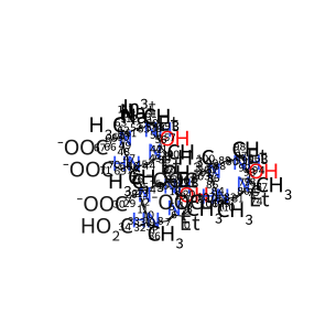 CCC1=C(C)c2nc1cc1[nH]c(cc3nc(cc4[nH]c(c2O)c(CC)c4C)C(C)=C3CCC(=O)[O-])c(CCC(=O)O)c1C.CCC1=C(C)c2nc1cc1[nH]c(cc3nc(cc4[nH]c(c2O)c(CC)c4C)C(C)=C3CCC(=O)[O-])c(CCC(=O)[O-])c1C.CCC1=C(C)c2nc1cc1[nH]c(cc3nc(cc4[nH]c(c2O)c(CC)c4C)C(C)=C3CCC(=O)[O-])c(CCC(=O)[O-])c1C.[In+3].[Na+].[Na+]